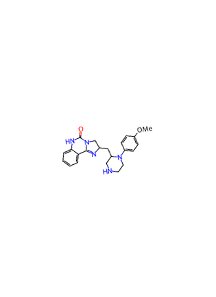 COc1ccc(N2CCNCC2CC2CN3C(=O)Nc4ccccc4C3=N2)cc1